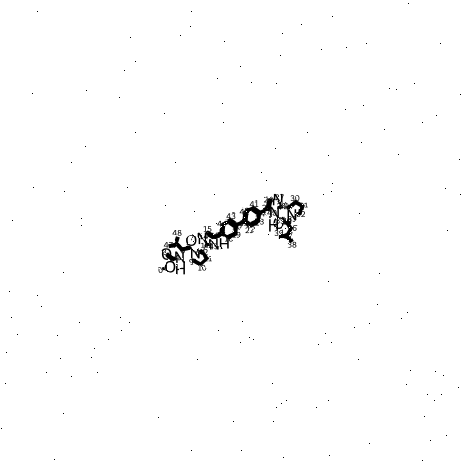 COC(=O)N[C@H](C(=O)N1CCC[C@H]1c1ncc(-c2ccc(-c3ccc(-c4cnc([C@@H]5CCCN5C(=O)CC(C)C)[nH]4)cc3)cc2)[nH]1)C(C)C